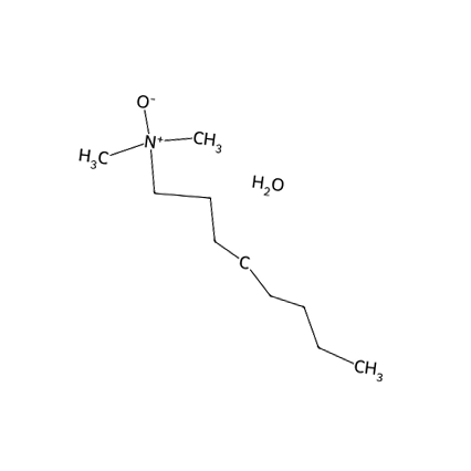 CCCCCCCC[N+](C)(C)[O-].O